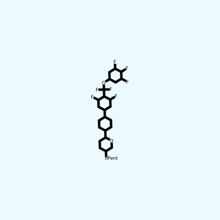 CCCCCC1CCC(C2CCC(C3CC(F)C(C(F)(F)OC4CC(F)C(F)C(F)C4)C(F)C3)CC2)OC1